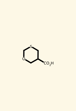 O=C(O)C1COCSC1